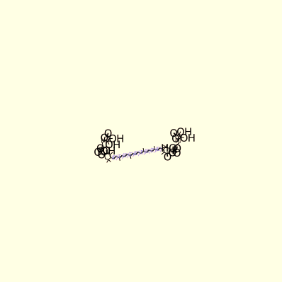 CC1=C(/C=C/C(C)=C/C=C/C(C)=C/C=C/C=C(C)/C=C/C=C(C)/C=C/C2=C(C)C(=O)C(OP(=O)(O)OCC[C@H]3OC(=O)C(O)=C3O)CC2(C)C)C(C)(C)CC(OP(=O)(O)OCC[C@H]2OC(=O)C(O)=C2O)C1=O